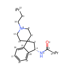 CCCC(=O)N[C@H]1CC2(CCN(CCC(C)C)CC2)c2ccccc21